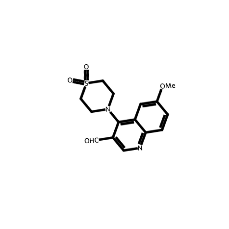 COc1ccc2ncc(C=O)c(N3CCS(=O)(=O)CC3)c2c1